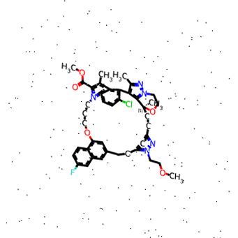 COCCn1nc2cc1CCc1cc(c3ccc(F)cc3c1)OCCCn1c(C(=O)OC)c(C)c3c(c(Cl)ccc31)-c1c(C)nn3c1[C@](C)(CC2)OCC3